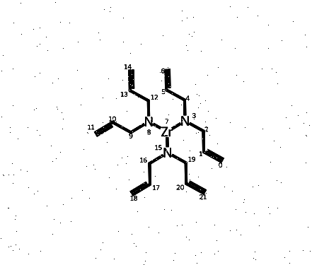 C=CC[N](CC=C)[Zr]([N](CC=C)CC=C)[N](CC=C)CC=C